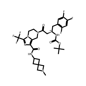 CN1CC2(CC(NC(=O)c3nc(C(F)(F)F)n4c3CN(C(=O)C[C@@H](Cc3cc(F)c(F)cc3F)NC(=O)OC(C)(C)C)CC4)C2)C1